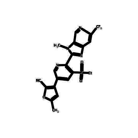 CCS(=O)(=O)c1cc(-c2cc(C)oc2C#N)cnc1-c1nc2cc(C(F)(F)F)ncc2n1C